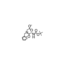 COC(=O)CN(Cc1cccs1)C(=O)CNC(=O)OC(C)(C)C